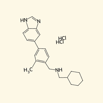 Cc1cc(-c2ccc3[nH]cnc3c2)ccc1CNCC1CCCCC1.Cl.Cl